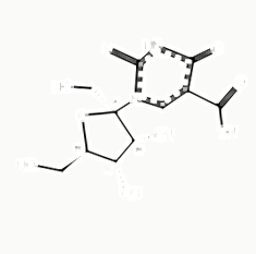 O=C(O)c1cn([C@]2(CO)O[C@H](CO)[C@@H](O)[C@H]2O)c(=S)[nH]c1=O